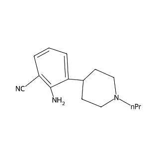 CCCN1CCC(c2cccc(C#N)c2N)CC1